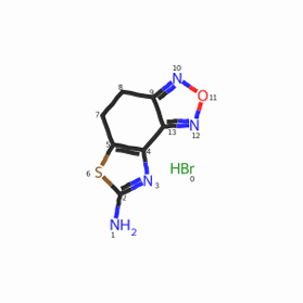 Br.Nc1nc2c(s1)CCc1nonc1-2